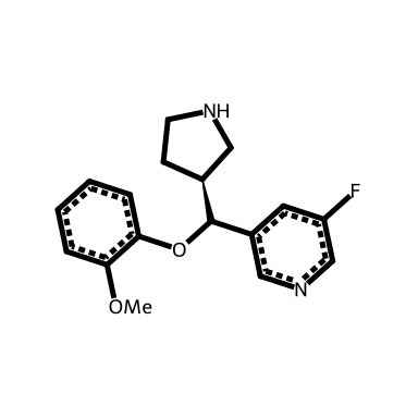 COc1ccccc1OC(c1cncc(F)c1)[C@H]1CCNC1